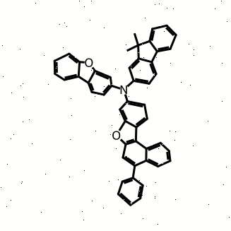 CC1(C)c2ccccc2-c2ccc(N(c3ccc4c(c3)oc3ccccc34)c3ccc4c(c3)oc3cc(-c5ccccc5)c5ccccc5c34)cc21